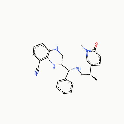 C[C@@H](CN[C@H](c1ccccc1)[C@H]1CNc2cccc(C#N)c2N1)c1ccc(=O)n(C)c1